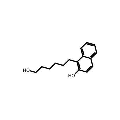 OCCCCCCc1c(O)ccc2ccccc12